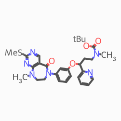 CSc1ncc2c(n1)N(C)CCN(c1cccc(OC(CCN(C)C(=O)OC(C)(C)C)c3ccccn3)c1)C2=O